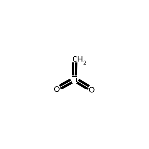 [CH2]=[Ti](=[O])=[O]